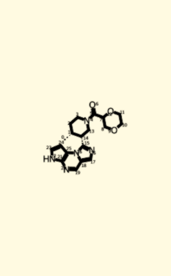 C[C@@H]1CCN(C(=O)C2COCCO2)C[C@@H]1c1ncc2cnc3[nH]ccc3n12